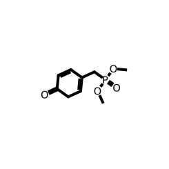 COP(=O)(CC1=CCC(=O)C=C1)OC